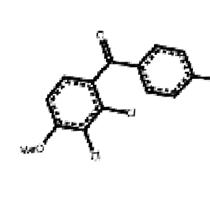 COc1ccc(C(=O)c2ccc(F)cc2)c(Cl)c1Cl